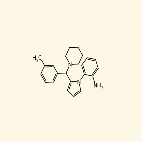 Cc1cccc(C(c2cccn2-c2ccccc2N)N2CCCCC2)c1